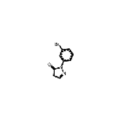 O=C1CC=NN1c1cccc(Br)c1